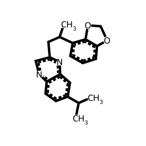 CC(C)c1ccc2ncc(CC(C)c3cccc4c3OCO4)nc2c1